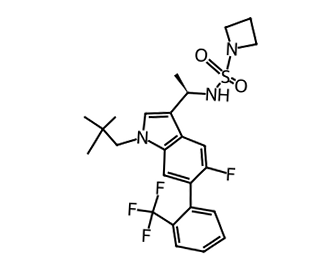 C[C@@H](NS(=O)(=O)N1CCC1)c1cn(CC(C)(C)C)c2cc(-c3ccccc3C(F)(F)F)c(F)cc12